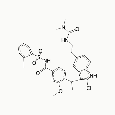 COc1cc(C(=O)NS(=O)(=O)c2ccccc2C)ccc1C(C)c1c(Cl)[nH]c2ccc(CCNC(=O)N(C)C)cc12